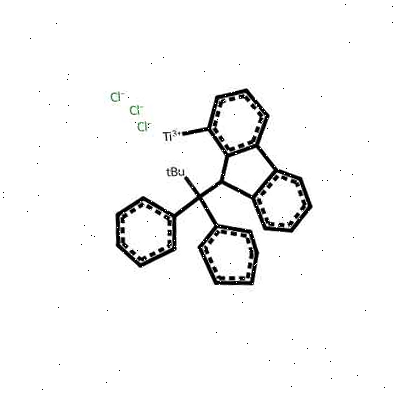 CC(C)(C)C(c1ccccc1)(c1ccccc1)C1c2ccccc2-c2ccc[c]([Ti+3])c21.[Cl-].[Cl-].[Cl-]